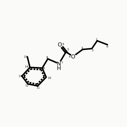 CCCCOC(=O)NCc1ccccc1C